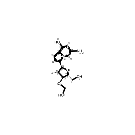 C[C@H]1[C@H](OCO)[C@@H](CO)O[C@@H]1c1ccc2c(O)nc(N)nn12